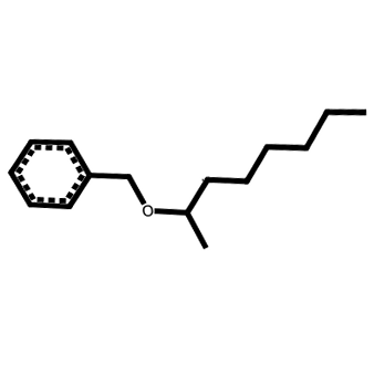 CCCCC[CH]C(C)OCc1ccccc1